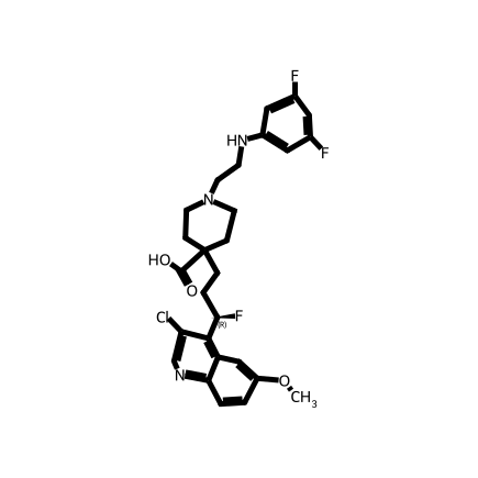 COc1ccc2ncc(Cl)c([C@H](F)CCC3(C(=O)O)CCN(CCNc4cc(F)cc(F)c4)CC3)c2c1